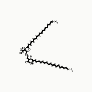 NCCCCCCCCCCCCCCCCCC(=O)NC(CSSCC(NC(=O)CCCCCCCCCCCCCCCCCN)C(=O)O)C(=O)O